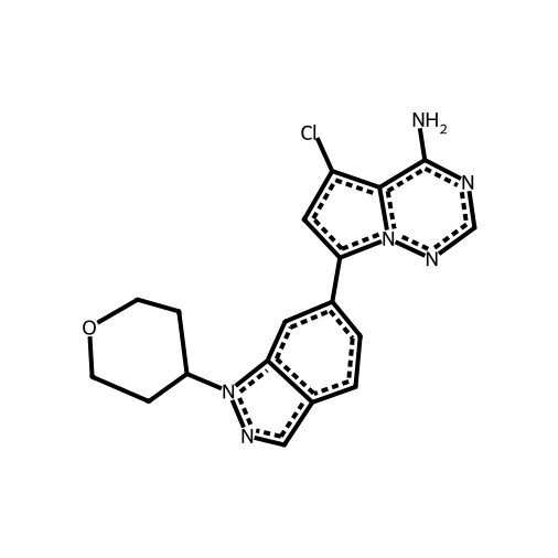 Nc1ncnn2c(-c3ccc4cnn(C5CCOCC5)c4c3)cc(Cl)c12